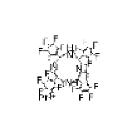 Fc1c(F)c(F)c(-c2c3nc(c(-c4c(F)c(F)c(F)c(F)c4F)c4ccc([nH]4)c(-c4c(F)c(F)c(F)c(F)c4F)c4nc(c(-c5c(F)c(F)c(F)c(F)c5F)c5ccc2[nH]5)C=C4)C=C3)c(F)c1F.[Pt+2]